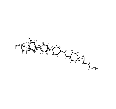 CCCCC[SiH]1CCC(CCC2CCC(c3ccc(-c4cc(F)c(OC(F)F)c(F)c4)cc3)CC2)CC1